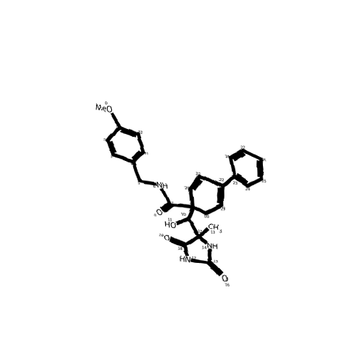 COc1ccc(CNC(=O)C2(C(O)C3(C)NC(=O)NC3=O)C=CC(c3ccccc3)=CC2)cc1